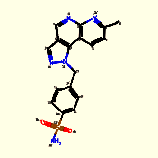 Cc1ccc2c(ncc3cnn(Cc4ccc(S(N)(=O)=O)cc4)c32)n1